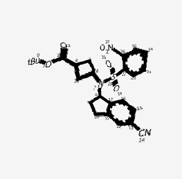 CC(C)(C)OC(=O)C1CC(N(C2CCc3cc(C#N)ccc32)S(=O)(=O)c2ccccc2[N+](=O)[O-])C1